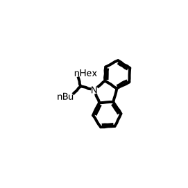 CCCCCCC(CCCC)n1c2ccccc2c2ccccc21